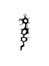 CC=CC1CCC(c2ccc(-c3ccc(Cl)c(F)c3)cc2)CC1